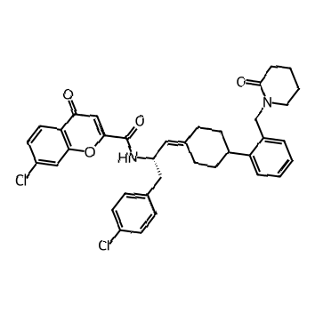 O=C(N[C@H](C=C1CCC(c2ccccc2CN2CCCCC2=O)CC1)Cc1ccc(Cl)cc1)c1cc(=O)c2ccc(Cl)cc2o1